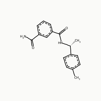 Cc1ccc([C@@H](C)NC(=O)c2cccc(C(N)=O)c2)cc1